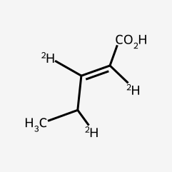 [2H]C(C(=O)O)=C([2H])C([2H])C